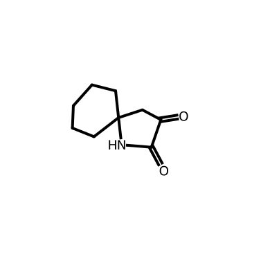 O=C1CC2(CCCCC2)NC1=O